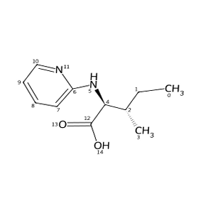 CC[C@H](C)[C@H](Nc1ccccn1)C(=O)O